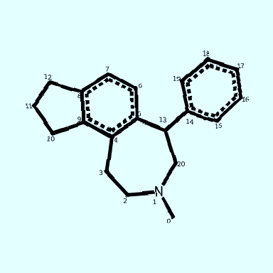 CN1CCc2c(ccc3c2CCC3)C(c2ccccc2)C1